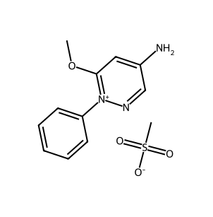 COc1cc(N)cn[n+]1-c1ccccc1.CS(=O)(=O)[O-]